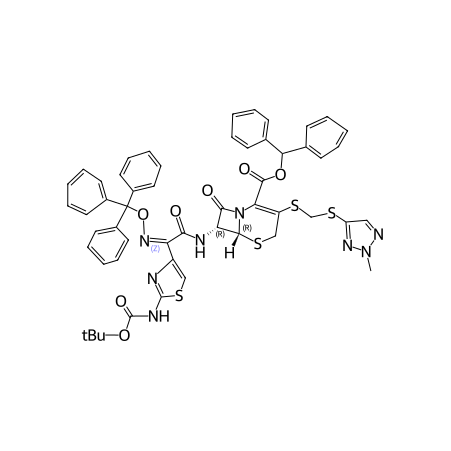 Cn1ncc(SCSC2=C(C(=O)OC(c3ccccc3)c3ccccc3)N3C(=O)[C@@H](NC(=O)/C(=N\OC(c4ccccc4)(c4ccccc4)c4ccccc4)c4csc(NC(=O)OC(C)(C)C)n4)[C@H]3SC2)n1